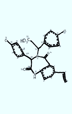 C=Cc1ccc2c(c1)C(=O)N(C(C(=O)O)c1ccc(Cl)cc1)C(c1ccc(Cl)cc1)C(=O)N2